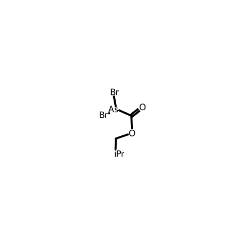 CC(C)COC(=O)[As](Br)Br